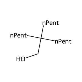 CCCCCC(CO)(CCCCC)CCCCC